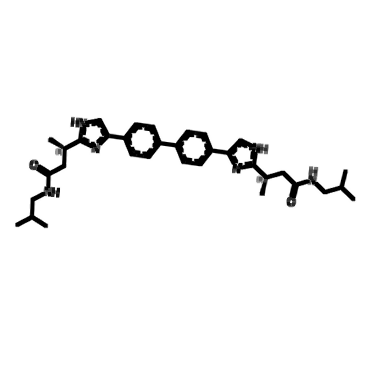 CC(C)CNC(=O)C[C@@H](C)c1nc(-c2ccc(-c3ccc(-c4c[nH]c([C@H](C)CC(=O)NCC(C)C)n4)cc3)cc2)c[nH]1